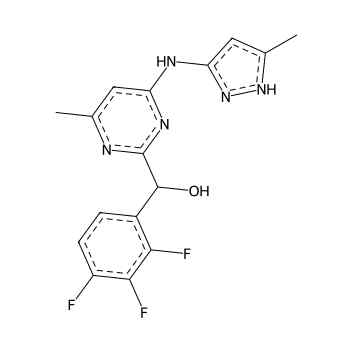 Cc1cc(Nc2cc(C)[nH]n2)nc(C(O)c2ccc(F)c(F)c2F)n1